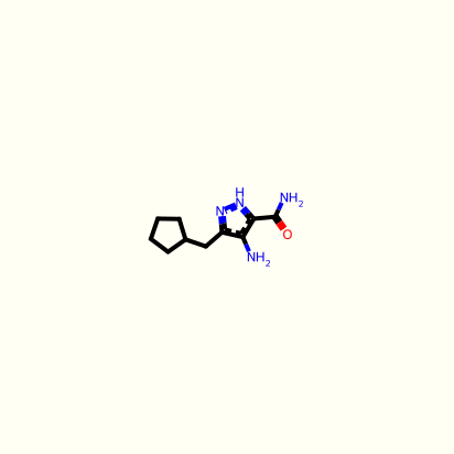 NC(=O)c1[nH]nc(CC2CCCC2)c1N